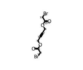 O=C(CBr)OCC#CCOC(=O)CBr